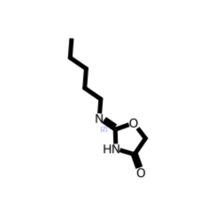 CCCCC/N=C1/NC(=O)CO1